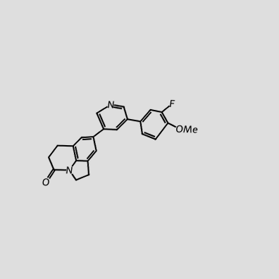 COc1ccc(-c2cncc(-c3cc4c5c(c3)CCN5C(=O)CC4)c2)cc1F